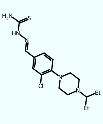 CCC(CC)N1CCN(c2ccc(/C=N/NC(N)=S)cc2Cl)CC1